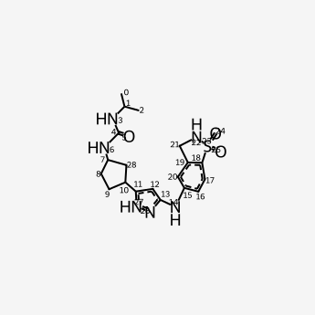 CC(C)NC(=O)NC1CCC(c2cc(Nc3ccc4c(c3)CNS4(=O)=O)n[nH]2)C1